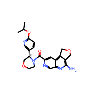 CC(C)Oc1ccc([C@@H]2COCCN2C(=O)c2cc3c4c(c(N)nc3cn2)COC4)cn1